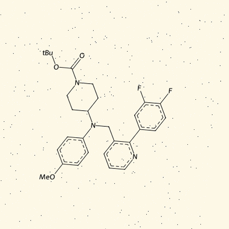 COc1ccc(N(Cc2cccnc2-c2ccc(F)c(F)c2)C2CCN(C(=O)OC(C)(C)C)CC2)cc1